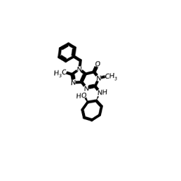 Cc1nc2nc(N[C@@H]3CCCCC[C@H]3O)n(C)c(=O)c2n1Cc1ccccc1